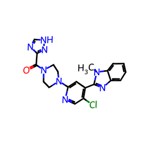 Cn1c(-c2cc(N3CCN(C(=O)c4nc[nH]n4)CC3)ncc2Cl)nc2ccccc21